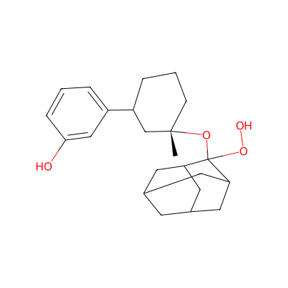 C[C@]1(OC2(OO)C3CC4CC(C3)CC2C4)CCCC(c2cccc(O)c2)C1